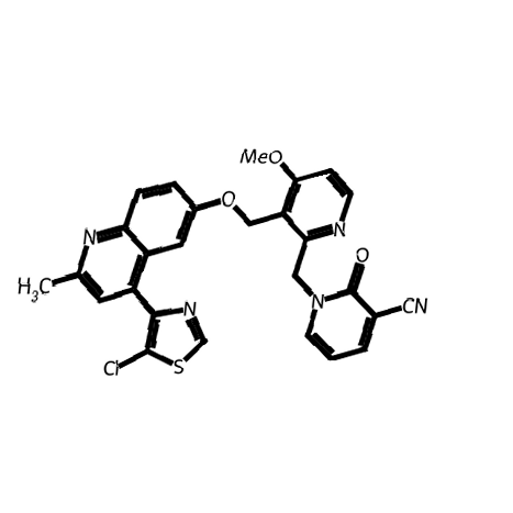 COc1ccnc(Cn2cccc(C#N)c2=O)c1COc1ccc2nc(C)cc(-c3ncsc3Cl)c2c1